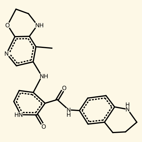 Cc1c(Nc2cc[nH]c(=O)c2C(=O)Nc2ccc3c(c2)CCCN3)cnc2c1NCCO2